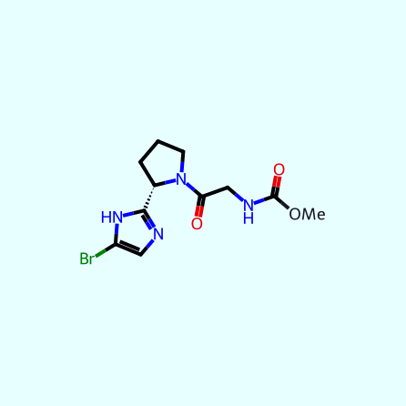 COC(=O)NCC(=O)N1CCC[C@H]1c1ncc(Br)[nH]1